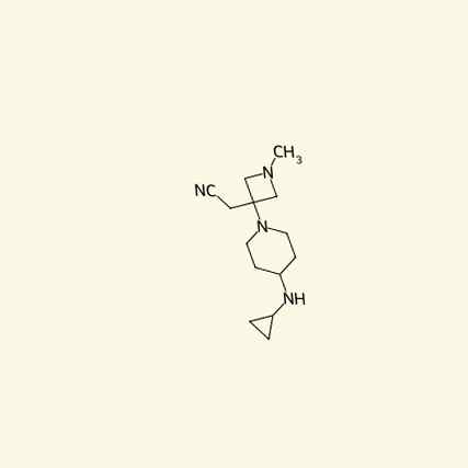 CN1CC(CC#N)(N2CCC(NC3CC3)CC2)C1